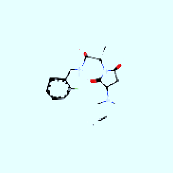 CS(=O)(=O)O.C[C@H](C(=O)NCc1ccccc1F)N1C(=O)CC(N(C)C)C1=O